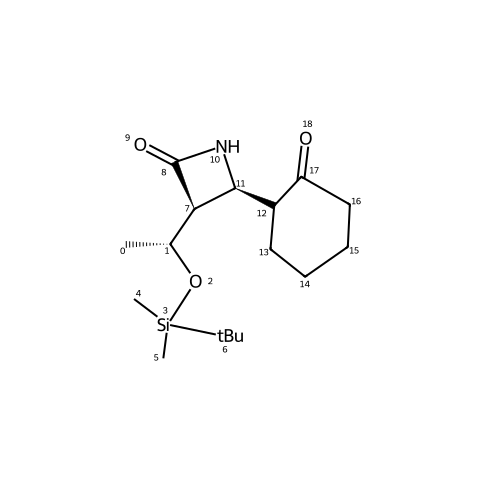 C[C@@H](O[Si](C)(C)C(C)(C)C)[C@H]1C(=O)N[C@H]1C1CCCCC1=O